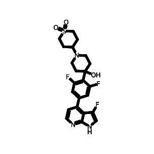 O=S1(=O)CCC(N2CCC(O)(c3c(F)cc(-c4ccnc5[nH]cc(F)c45)cc3F)CC2)CC1